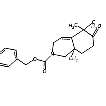 CC12CCC(=O)C(C)(C)C1=CCN(C(=O)OCc1ccccc1)C2